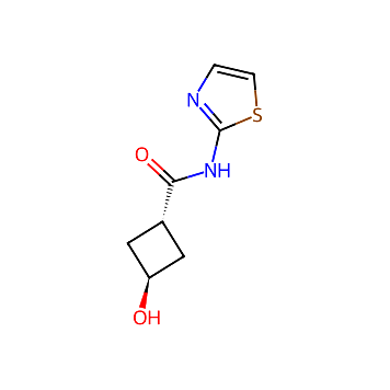 O=C(Nc1nccs1)[C@H]1C[C@H](O)C1